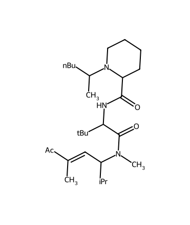 CCCCC(C)N1CCCCC1C(=O)NC(C(=O)N(C)C(/C=C(\C)C(C)=O)C(C)C)C(C)(C)C